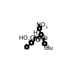 CC(C)(C)c1ccc(C(=O)Nc2ccc(-c3ccc([N+](=O)[O-])cc3)cc2C(=O)N[C@@H](Cc2ccc(-c3ccccc3)cc2)C(=O)O)cc1